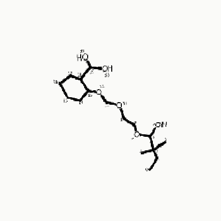 CCC(C)(C)C(O)OCCOCOC1CCCCC1C(O)O